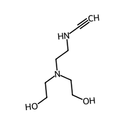 C#CNCCN(CCO)CCO